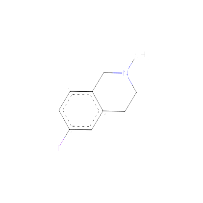 CN1CCc2cc(I)ccc2C1